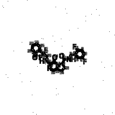 O=C(NCc1cc(F)ccc1F)C1CCc2cnc(NCC(F)(F)c3cccc[n+]3[O-])c(=O)n21